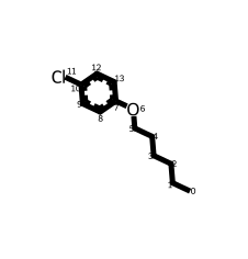 CCCCCCOc1ccc(Cl)cc1